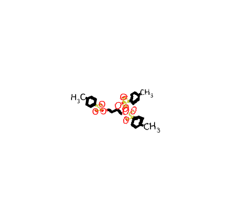 Cc1ccc(S(=O)(=O)OCCC(COS(=O)(=O)c2ccc(C)cc2)OS(=O)(=O)c2ccc(C)cc2)cc1